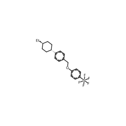 CC[C@H]1CC[C@H](c2ccc(COc3ccc(S(F)(F)(F)(F)F)cc3)cc2)CC1